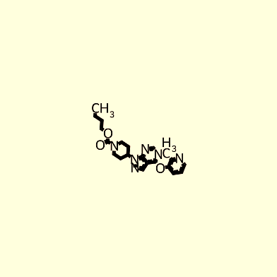 CCCCOC(=O)N1CCC(n2ncc3c(Oc4cccnc4C)ncnc32)CC1